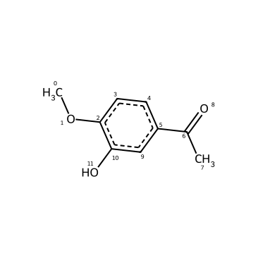 COc1ccc(C(C)=O)cc1O